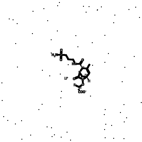 CC1=C[C@@H]2CN(C(=O)N2O[C@@H](F)C(=O)[O-])[C@@H]1C(=O)NCCCS(N)(=O)=O.[Li+]